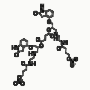 O=C(CCCO[N+](=O)[O-])NCCNCC(COc1cccc2c1CC(=O)N2)OC(=O)/C=C/C(=O)OC(CNCCNC(=O)CCCO[N+](=O)[O-])COc1cccc2c1CC(=O)N2